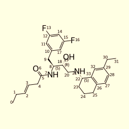 CCC=CCC(=O)N[C@@H](Cc1cc(F)cc(F)c1)[C@H](O)CN[C@H]1CCCc2ccc(CC)cc21